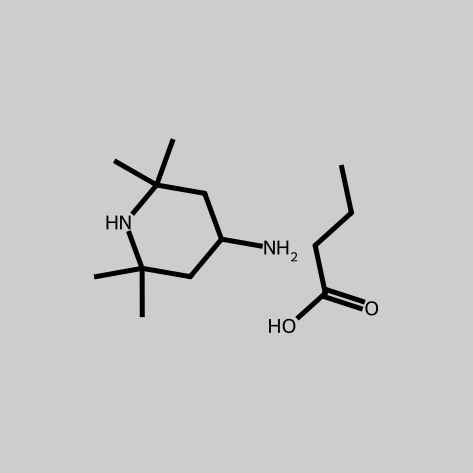 CC1(C)CC(N)CC(C)(C)N1.CCCC(=O)O